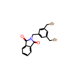 O=C1c2ccccc2C(=O)N1Cc1cc(CBr)cc(CBr)c1